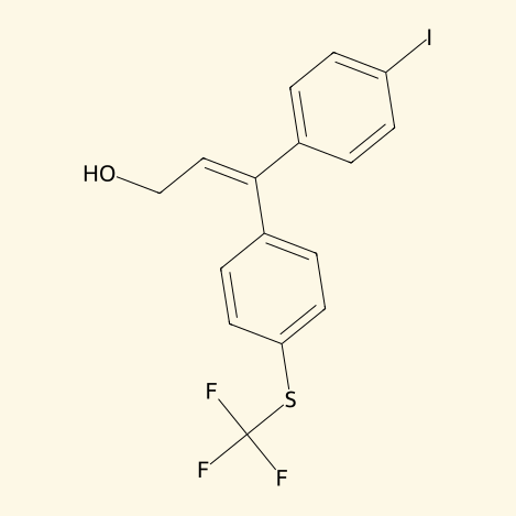 OCC=C(c1ccc(I)cc1)c1ccc(SC(F)(F)F)cc1